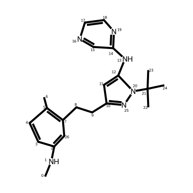 CNc1ccc(C)c(CCc2cc(Nc3cnccn3)n(C(C)(C)C)n2)c1